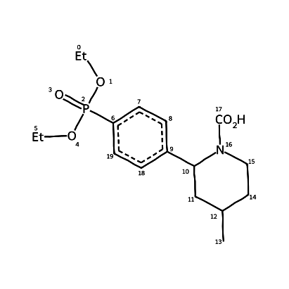 CCOP(=O)(OCC)c1ccc(C2CC(C)CCN2C(=O)O)cc1